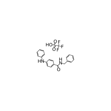 O=C(NCc1ccccc1)c1ccc(Nc2ccccc2)cc1.O=S(=O)(O)C(F)(F)F